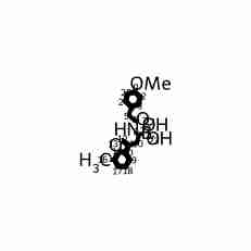 COc1ccc(CC(=O)NC(Cc2coc3c(C)cccc23)B(O)O)cc1